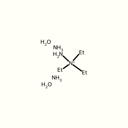 CC[N+](N)(CC)CC.N.N.O.O